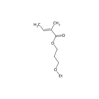 CC=C(C)C(=O)OCCCOCC